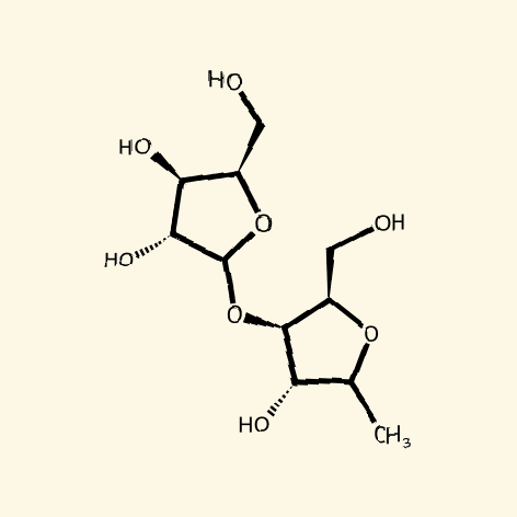 CC1O[C@H](CO)[C@H](OC2O[C@H](CO)[C@H](O)[C@H]2O)[C@H]1O